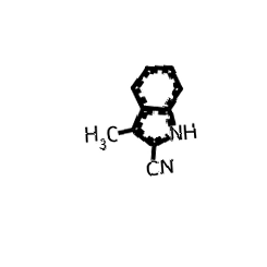 Cc1c(C#N)[nH]c2ccccc12